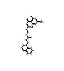 C=C(/C=C(\CC)CC/N=C(\C)CCC1CC=Cc2ccccc21)c1ccc(C(C)(C)C)cc1C